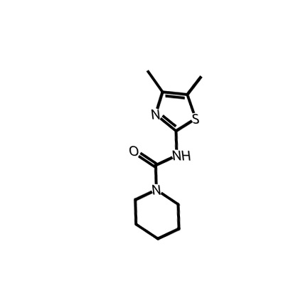 Cc1nc(NC(=O)N2CCCCC2)sc1C